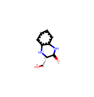 O=C1Nc2ccccc2N[C@H]1CO